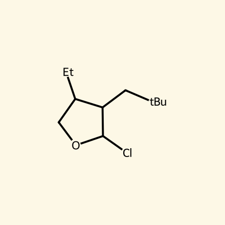 CCC1COC(Cl)C1CC(C)(C)C